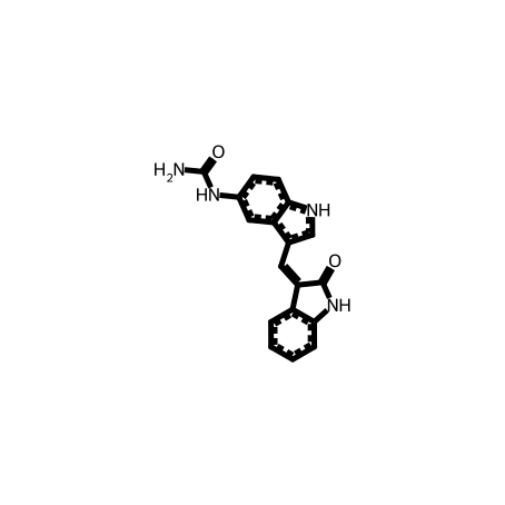 NC(=O)Nc1ccc2[nH]cc(C=C3C(=O)Nc4ccccc43)c2c1